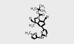 Cn1ccc(Nc2nccc(-c3cc(C#N)c4c(c3)[C@@](C)(C=O)CN4C(=O)OC(C)(C)C)n2)n1